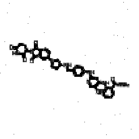 CNC(=O)c1ccccc1Nc1cc(Nc2ccc(CN[C@@H]3CCN(c4ccc5c(c4)C(=O)N(C4CCC(=O)NC4=O)C5=O)C3)cc2)ncc1C(F)(F)F